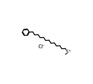 C[S+](C)CCCCCCCCCCCCCc1ccccc1.[Cl-]